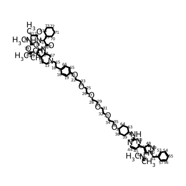 C[C@@H](C(=O)N[C@H](C(=O)N1CCC2CCN(CCc3ccc(OCCOCCOCCOCCOCCO[C@H]4CC[C@H](Nc5nccc(-c6cnn(Cc7ccccc7)c6N(C)C)n5)CC4)cc3)CC21)C1CCCCC1)N(C)C(=O)OC(C)(C)C